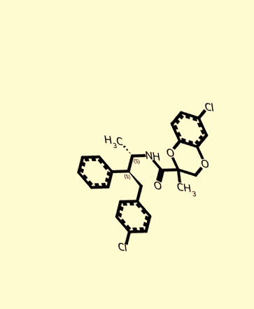 C[C@H](NC(=O)C1(C)COc2cc(Cl)ccc2O1)[C@@H](Cc1ccc(Cl)cc1)c1ccccc1